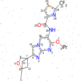 CC(C)Oc1nc2nc(C34COC(C)(C3)C4)cn2cc1NC(=O)c1csc(C(F)(F)F)n1